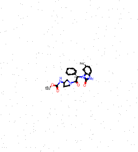 CC(C)(C)OC(=O)NC1CCN(C(=O)[C@H](c2ccccc2)n2c(=O)[nH]c3ccc(C#N)cc32)C1